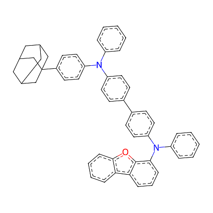 c1ccc(N(c2ccc(-c3ccc(N(c4ccccc4)c4cccc5c4oc4ccccc45)cc3)cc2)c2ccc(C34CC5CC(CC(C5)C3)C4)cc2)cc1